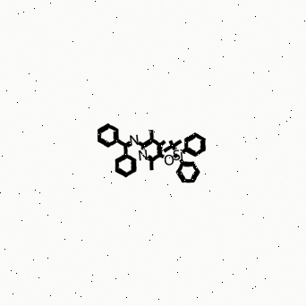 Cc1nc(N=C(c2ccccc2)c2ccccc2)c(C)c(C)c1O[Si](c1ccccc1)(c1ccccc1)C(C)(C)C